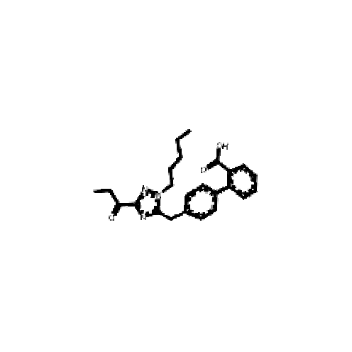 CCCCCn1nc(C(=O)CC)nc1Cc1ccc(-c2ccccc2C(=O)O)cc1